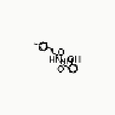 Cc1ccc(C=CC(=O)NNC(=O)c2ccccc2O)cc1